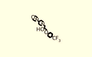 OC(COc1ccc(C(F)(F)F)cc1)CN1CCC(N2CCOCC2)CC1